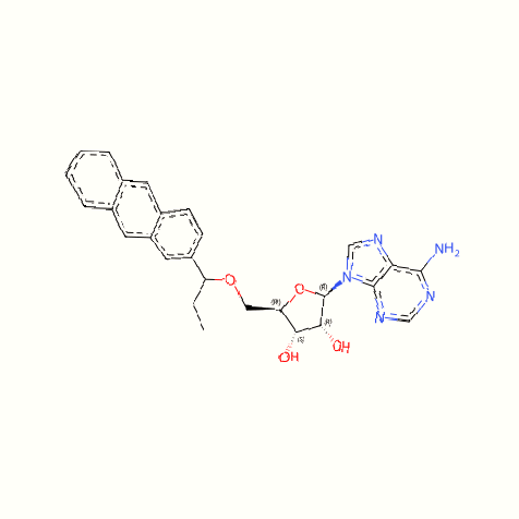 CCC(OC[C@H]1O[C@@H](n2cnc3c(N)ncnc32)[C@H](O)[C@@H]1O)c1ccc2cc3ccccc3cc2c1